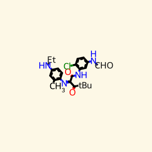 CCNc1ccc(/N=C(\C(=O)Nc2cc(NC=O)ccc2Cl)C(=O)C(C)(C)C)c(C)c1